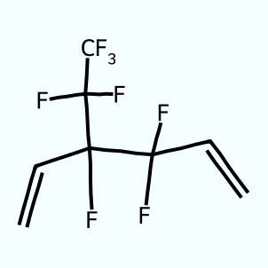 C=CC(F)(F)C(F)(C=C)C(F)(F)C(F)(F)F